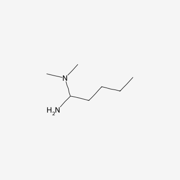 CCCCC(N)N(C)C